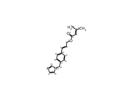 C/C(N)=C/C(=O)OCC=Cc1ccc(Cn2ccnc2)cc1